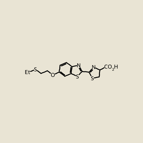 CCSCCOc1ccc2nc(C3=NC(C(=O)O)CS3)sc2c1